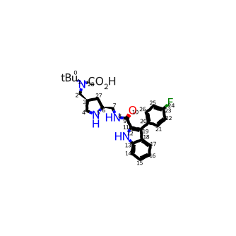 CC(C)(C)N(C[C@@H]1CN[C@H](CNC(=O)c2[nH]c3ccccc3c2-c2ccc(F)cc2)C1)C(=O)O